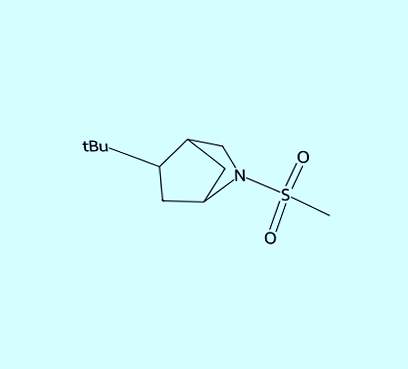 CC(C)(C)C1CC2CC1CN2S(C)(=O)=O